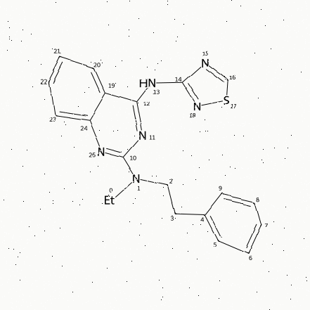 CCN(CCc1ccccc1)c1nc(Nc2ncsn2)c2ccccc2n1